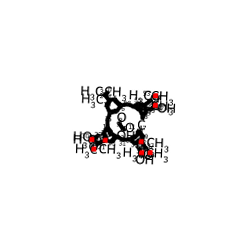 CC(C)(C)c1cc2c(OCC(=O)O)c(c1)Cc1cc(C(C)(C)C)cc(c1OCC(=O)O)Cc1cc(C(C)(C)C)cc(c1OCC(=O)O)Cc1cc(C(C)(C)C)cc(c1OCC(=O)O)C2